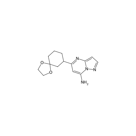 Nc1cc(C2CCCC3(C2)OCCO3)nc2ccnn12